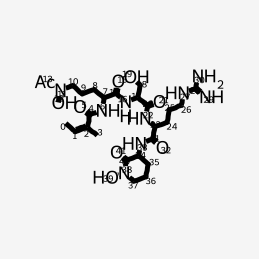 C/C=C(/C)C(=O)NC(CCCN(O)C(C)=O)C(=O)NC(CO)C(=O)NC(CCCNC(=N)N)C(=O)NC1CCCN(O)C1=O